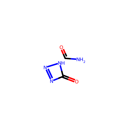 NC=O.O=C1N=NN1